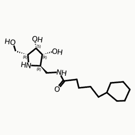 O=C(CCCCC1CCCCC1)NC[C@H]1N[C@H](CO)[C@H](O)[C@@H]1O